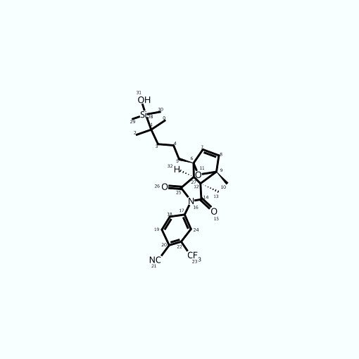 CC(C)(CCC[C@@]12C=C[C@@](C)(O1)[C@@]1(C)C(=O)N(c3ccc(C#N)c(C(F)(F)F)c3)C(=O)[C@@H]21)[Si](C)(C)O